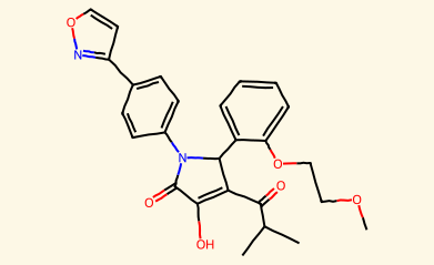 COCCOc1ccccc1C1C(C(=O)C(C)C)=C(O)C(=O)N1c1ccc(-c2ccon2)cc1